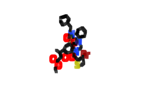 CCOC(=O)c1oc2ccc(S(=O)(=O)N(CCc3ccccc3)c3ccccc3N3CCN(C(=O)c4sccc4Br)C[C@@H]3C)cc2c1C